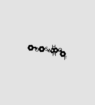 Fc1ccc(O[C@H]2C[C@@H]3CN(CSc4ccc(OCc5ccccc5)cc4)C[C@@H]3C2)cc1